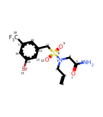 C=CCN(CC(N)=O)S(=O)(=O)Cc1cc(Br)cc(C(F)(F)F)c1